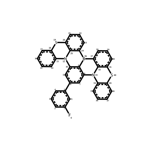 Fc1cccc(-c2cc3c4c(c2)N2c5ccccc5Sc5cccc(c52)B4c2cccc4c2N3c2ccccc2S4)c1